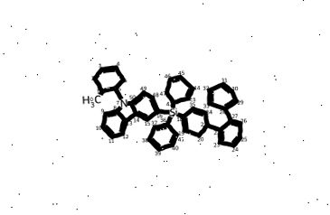 CC1CC=CCC1n1c2ccccc2c2cc([Si](C3=CCC(c4ccccc4-c4ccccc4)C=C3)(c3ccccc3)C3C=CC=CC3)ccc21